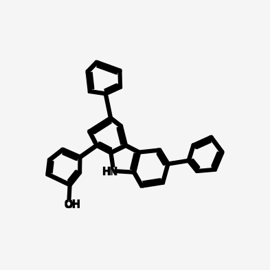 Oc1cccc(-c2cc(-c3ccccc3)cc3c2[nH]c2ccc(-c4ccccc4)cc23)c1